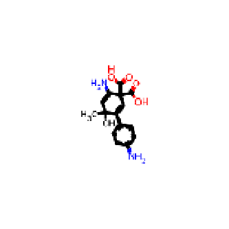 CC1(C)C=C(N)C(C(=O)O)(C(=O)O)C=C1c1ccc(N)cc1